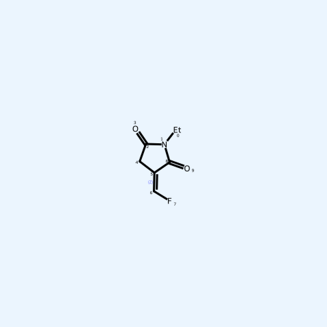 CCN1C(=O)C/C(=C/F)C1=O